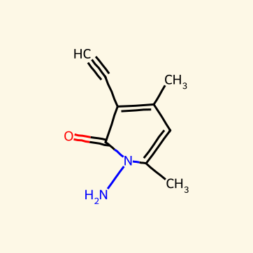 C#Cc1c(C)cc(C)n(N)c1=O